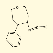 S=C=NC1CCCCCC1c1ccccc1